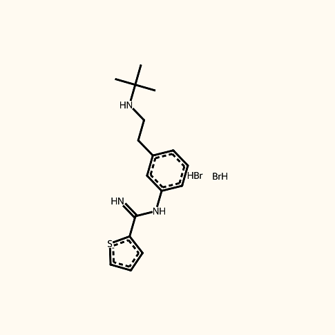 Br.Br.CC(C)(C)NCCc1cccc(NC(=N)c2cccs2)c1